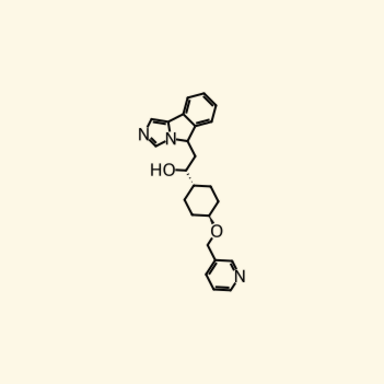 OC(CC1c2ccccc2-c2cncn21)[C@H]1CC[C@H](OCc2cccnc2)CC1